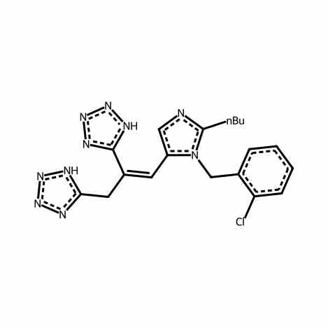 CCCCc1ncc(/C=C(/Cc2nnn[nH]2)c2nnn[nH]2)n1Cc1ccccc1Cl